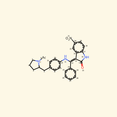 CC(=O)N1CCCC1Cc1ccc(NC(=C2C(=O)Nc3ccc([N+](=O)[O-])cc32)c2ccccc2)cc1